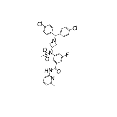 Cc1cccc(NC(=O)c2cc(F)cc(N(C3CN(C(c4ccc(Cl)cc4)c4ccc(Cl)cc4)C3)S(C)(=O)=O)c2)n1